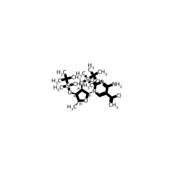 C=C(Cl)c1cn([C@@H]2O[C@H](C)[C@@H](O[Si](C)(C)C(C)(C)C)[C@H]2O[Si](C)(C)C(C)(C)C)c(=O)nc1N